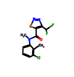 Cc1c(Cl)cccc1N(C)C(=O)c1snnc1C(F)F